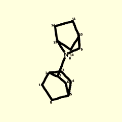 C1CC2CCC1CC2N1CC2CCC1C2